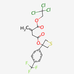 C=C(CC(=O)OC1(c2ccc(C(F)(F)F)cc2)CSC1)C(=O)OCC(Cl)(Cl)Cl